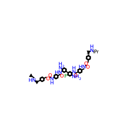 CC(C)NC1C[C@@H]1c1ccc(COC(=O)NCc2ccc(C(=O)Nc3cc(-c4ccc(N)c(NC(=O)c5ccc(NC(=O)OCc6ccc(C7C[C@@H]7NCC7CC7)cc6)cc5)c4)c(F)cc3N)cc2)cc1